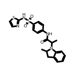 CC1Cc2ccccc2N1C(C)C(=O)Nc1ccc(S(=O)(=O)Nc2nccs2)cc1